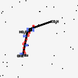 CC[C@H](C)[C@@H](C=O)NC(=O)COCCOCCNC(=O)COCCOCCNC(=O)CCC(NC(=O)C1CCC(CNC(=O)CCCCCCCCCCCCCCCCCCC(=O)O)CC1)C(=O)O